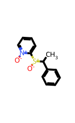 CC(c1ccccc1)[S+]([O-])c1cccc[n+]1[O-]